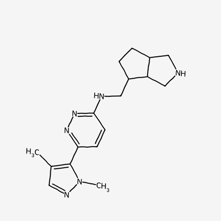 Cc1cnn(C)c1-c1ccc(NCC2CCC3CNCC32)nn1